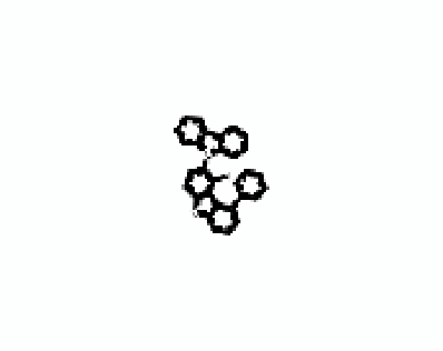 Ic1c(-n2c3ccccc3c3ccccc32)ccc2oc3cccc(-c4ccccc4)c3c12